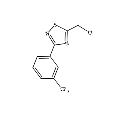 FC(F)(F)c1cccc(-c2nsc(CCl)n2)c1